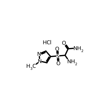 Cl.Cn1cc(S(=O)(=O)C(N)C(N)=O)cn1